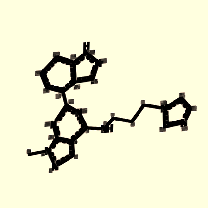 Cn1ncc2c(NCCCn3ccnc3)nc(-c3cccc4[nH]ncc34)nc21